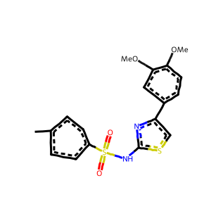 COc1ccc(-c2csc(NS(=O)(=O)c3ccc(C)cc3)n2)cc1OC